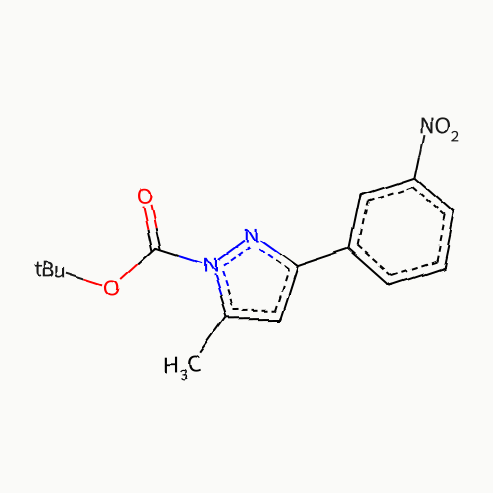 Cc1cc(-c2cccc([N+](=O)[O-])c2)nn1C(=O)OC(C)(C)C